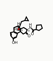 O=C(N[C@H]1C[C@@]2(O)[C@H]3Cc4ccc(O)cc4C2(CCN3CC2CC2)CC1=O)C1CCCC1